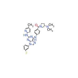 Cc1ccc(Nc2nc(Nc3ccc(C(=O)N4CCC(N(C)C)C4)cc3)c3ncn(-c4cccc(F)c4)c3n2)nc1